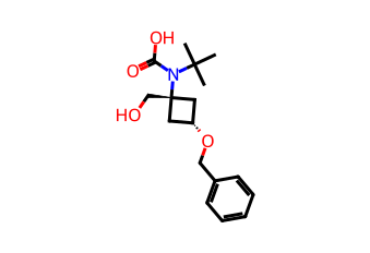 CC(C)(C)N(C(=O)O)[C@]1(CO)C[C@H](OCc2ccccc2)C1